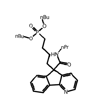 CCCCOP(=O)(CCCCC1(C(=O)NCCC)c2ccccc2-c2ncccc21)OCCCC